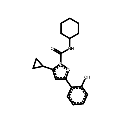 O=C(NC1CCCCC1)n1nc(-c2ccccc2O)cc1C1CC1